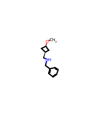 CO[C@H]1C[C@@H](CNCc2ccccc2)C1